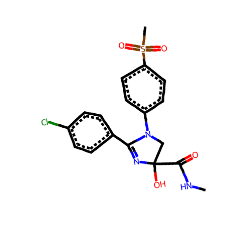 CNC(=O)C1(O)CN(c2ccc(S(C)(=O)=O)cc2)C(c2ccc(Cl)cc2)=N1